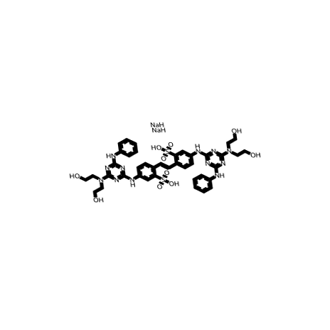 O=S(=O)(O)c1cc(Nc2nc(Nc3ccccc3)nc(N(CCO)CCO)n2)ccc1/C=C/c1ccc(Nc2nc(Nc3ccccc3)nc(N(CCO)CCO)n2)cc1S(=O)(=O)O.[NaH].[NaH]